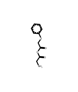 NCC(=O)OC(=O)CSc1ccccc1